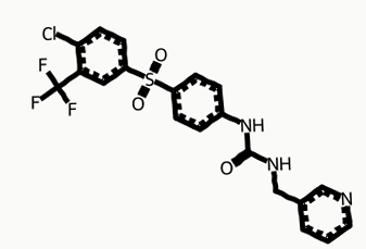 O=C(NCc1cccnc1)Nc1ccc(S(=O)(=O)c2ccc(Cl)c(C(F)(F)F)c2)cc1